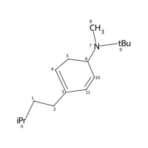 CC(C)CCC1=CCC(N(C)C(C)(C)C)C=C1